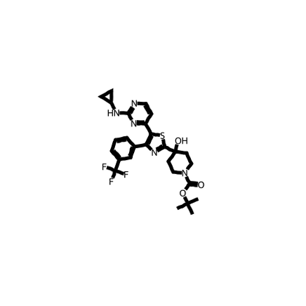 CC(C)(C)OC(=O)N1CCC(O)(c2nc(-c3cccc(C(F)(F)F)c3)c(-c3ccnc(NC4CC4)n3)s2)CC1